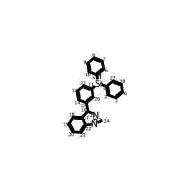 c1ccc([SiH](c2ccccc2)c2cccc(C3c4ccccc4N4C[N@@]34)c2)cc1